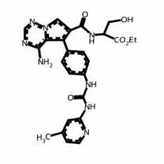 CCOC(=O)C(CO)NC(=O)c1cn2ncnc(N)c2c1-c1ccc(NC(=O)Nc2cc(C)ccn2)cc1